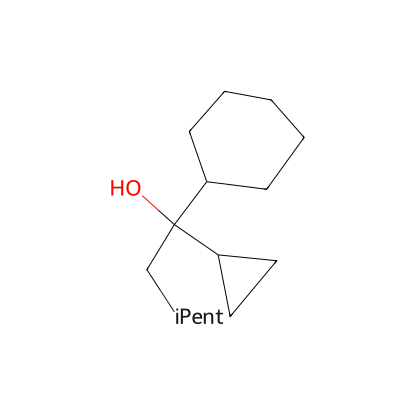 CCCC(C)CC(O)(C1CCCCC1)C1CC1